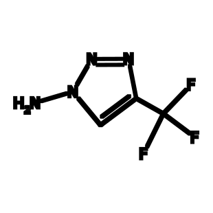 Nn1cc(C(F)(F)F)nn1